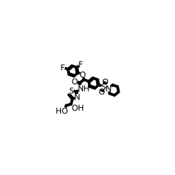 O=C(Nc1nc(C(O)CO)cs1)C(Oc1ccc(F)cc1F)c1ccc(S(=O)(=O)N2CCCCC2)cc1